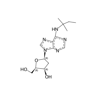 CCC(C)(C)Nc1ncnc2c1ncn2[C@H]1C[C@@H](O)[C@@H](CO)O1